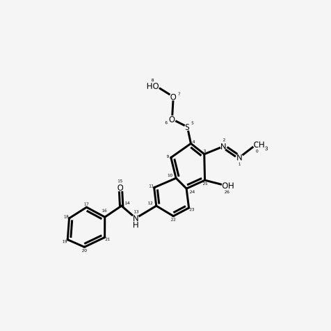 CN=Nc1c(SOOO)cc2cc(NC(=O)c3ccccc3)ccc2c1O